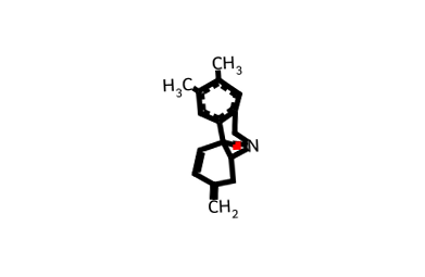 C=C1C=CC23CCN(Cc4cc(C)c(C)cc42)C3C1